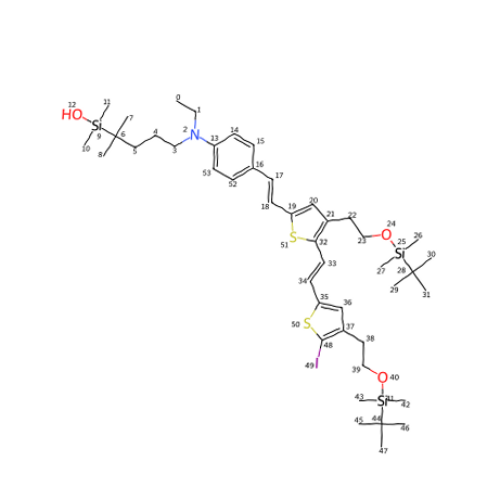 CCN(CCCC(C)(C)[Si](C)(C)O)c1ccc(/C=C/c2cc(CCO[Si](C)(C)C(C)(C)C)c(/C=C/c3cc(CCO[Si](C)(C)C(C)(C)C)c(I)s3)s2)cc1